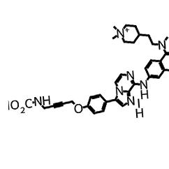 Cc1cc(Nc2nccn3c(-c4ccc(OCC#CCNC(=O)O)cc4)cnc23)ccc1C(=O)N(C)CCC1CC[N+](C)(C)CC1.I